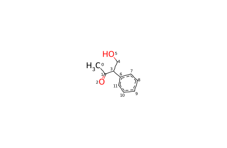 CC(=O)C(CO)c1ccccc1